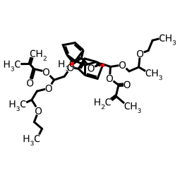 C=C(C)C(=O)OC(COC1=CC2=CC=C1C2C1(C)C2=CC=C1C(OCC(OCC(C)OCCC)OC(=O)C(=C)C)=C2)OCC(C)OCCC